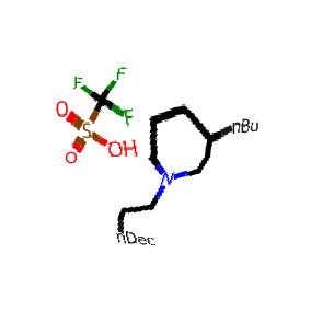 CCCCCCCCCCCCN1CCCC(CCCC)C1.O=S(=O)(O)C(F)(F)F